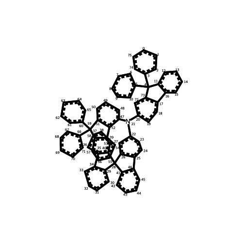 c1ccc(C2(c3ccccc3)c3ccccc3-c3ccc(N(c4ccc5c(c4)C4(c6ccccc6-c6ccccc64)c4ccccc4-5)c4cccc5c4-c4ccccc4C5(c4ccccc4)c4ccccc4)cc32)cc1